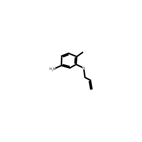 C=CCOc1cc(N)ccc1C